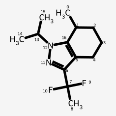 CC1CCCc2c(C(C)(F)F)nn(C(C)C)c21